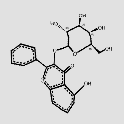 O=c1c(OC2O[C@H](CO)[C@H](O)[C@H](O)[C@H]2O)c(-c2ccccc2)oc2cccc(O)c12